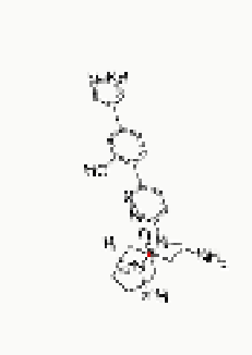 CN(c1ccc(-c2ccc(-c3cn[nH]c3)cc2O)nn1)[C@@H]1C[C@H]2CC[C@@H](C1)N2C(=O)CCN